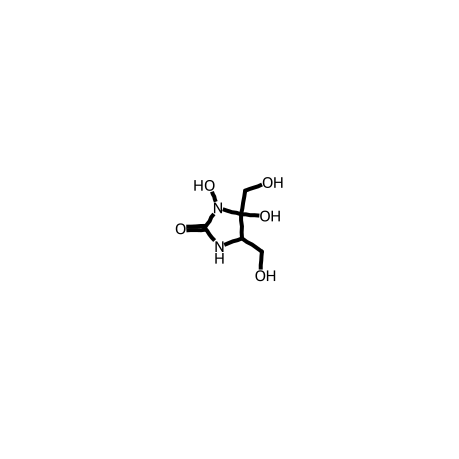 O=C1NC(CO)C(O)(CO)N1O